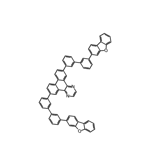 c1cc(-c2cccc(-c3ccc4c5ccc(-c6cccc(-c7cccc(-c8ccc9c(c8)oc8ccccc89)c7)c6)cc5c5nccnc5c4c3)c2)cc(-c2ccc3c(c2)oc2ccccc23)c1